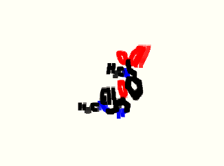 CN(C)Cc1cc(Oc2cccc3cc(C(=O)O)n(C)c23)ccn1